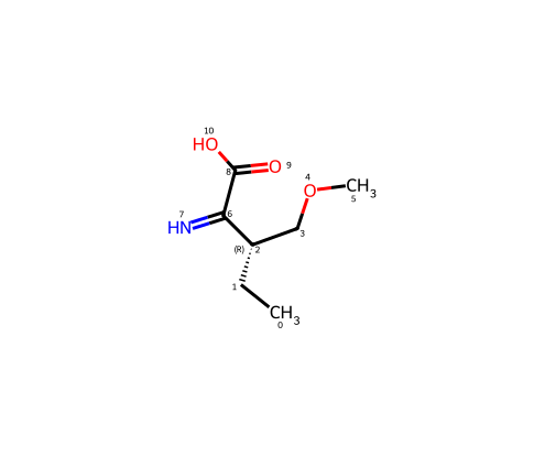 CC[C@@H](COC)C(=N)C(=O)O